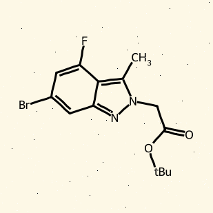 Cc1c2c(F)cc(Br)cc2nn1CC(=O)OC(C)(C)C